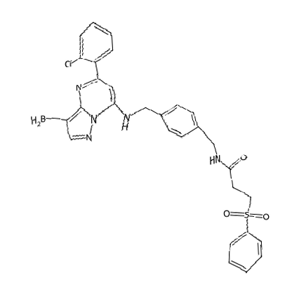 Bc1cnn2c(NCc3ccc(CNC(=O)CCS(=O)(=O)c4ccccc4)cc3)cc(-c3ccccc3Cl)nc12